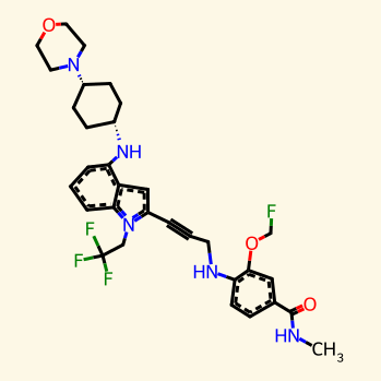 CNC(=O)c1ccc(NCC#Cc2cc3c(N[C@H]4CC[C@@H](N5CCOCC5)CC4)cccc3n2CC(F)(F)F)c(OCF)c1